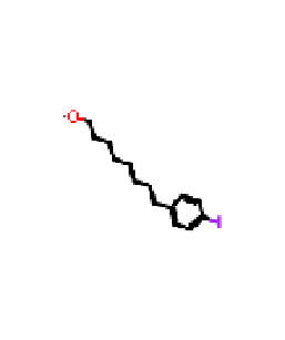 [O]CCCCCCCCc1ccc(I)cc1